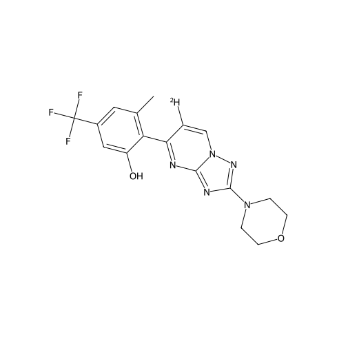 [2H]c1cn2nc(N3CCOCC3)nc2nc1-c1c(C)cc(C(F)(F)F)cc1O